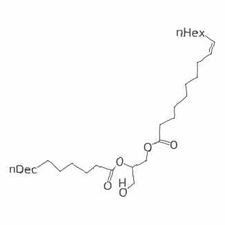 CCCCCC/C=C\CCCCCCCC(=O)OCC(CO)OC(=O)CCCCCCCCCCCCCCC